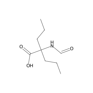 CCCC(CCC)(NC=O)C(=O)O